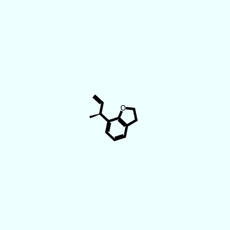 C=C[C@H](C)c1cccc2c1OCC2